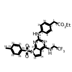 CCOC(=O)Cc1ccc(Nc2nc(NCC(F)(F)F)c3ccn(S(=O)(=O)c4ccc(C)cc4)c3n2)cc1